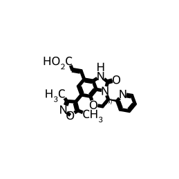 Cc1noc(C)c1-c1cc(C=CC(=O)O)c2[nH]c(=O)n3c2c1OC[C@@H]3c1ccccn1